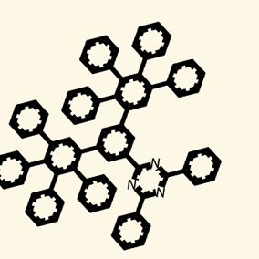 c1ccc(-c2nc(-c3ccccc3)nc(-c3cc(-c4cc(-c5ccccc5)c(-c5ccccc5)c(-c5ccccc5)c4-c4ccccc4)cc(-c4cc(-c5ccccc5)c(-c5ccccc5)c(-c5ccccc5)c4-c4ccccc4)c3)n2)cc1